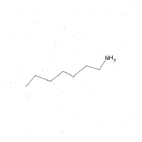 CCCC[CH]CCN